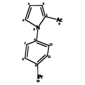 CC(=O)c1cccn1-c1ccc(C(C)C)cc1